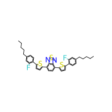 CCCCCc1ccc(-c2ccc(-c3ccc(-c4ccc(-c5ccc(CCCCC)cc5F)s4)c4nsnc34)s2)c(F)c1